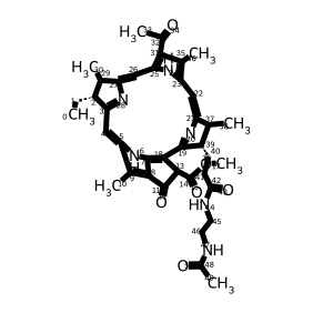 CC[C@H]1c2cc3[nH]c4c(c3C)C(=O)C(C(=O)OC)c4c3nc(cc4[nH]c(cc(n2)C1C)c(C(C)=O)c4C)C(C)[C@@H]3CCC(=O)NCCNC(C)=O